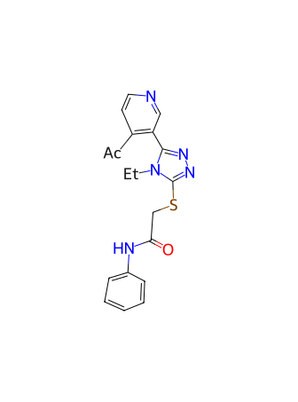 CCn1c(SCC(=O)Nc2ccccc2)nnc1-c1cnccc1C(C)=O